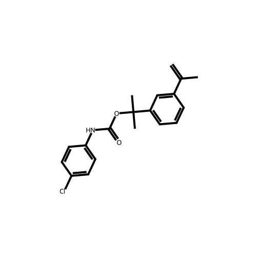 C=C(C)c1cccc(C(C)(C)OC(=O)Nc2ccc(Cl)cc2)c1